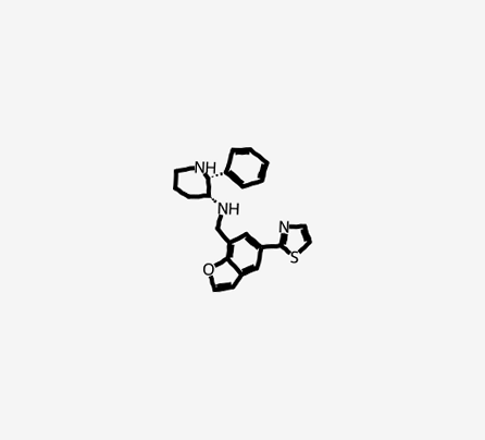 c1ccc([C@H]2NCCC[C@H]2NCc2cc(-c3nccs3)cc3ccoc23)cc1